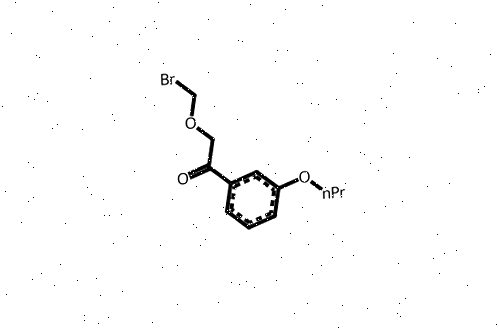 CCCOc1cccc(C(=O)COCBr)c1